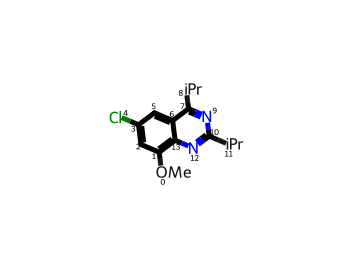 COc1cc(Cl)cc2c(C(C)C)nc(C(C)C)nc12